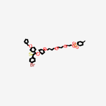 Cc1ccc(S(=O)(=O)OCCCOCCCOCCCCOc2ccc(Oc3c(-c4ccc(Br)cc4)sc4cc(OCc5ccccc5)ccc34)cc2)cc1